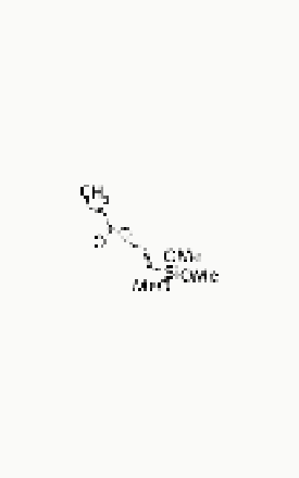 CC=CC(=O)OCC=C[Si](OC)(OC)OC